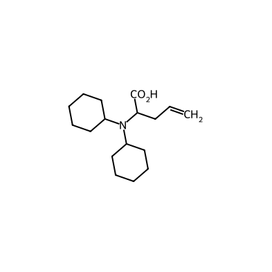 C=CCC(C(=O)O)N(C1CCCCC1)C1CCCCC1